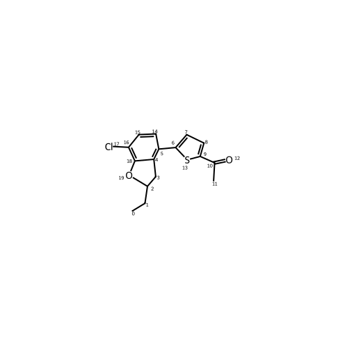 CCC1Cc2c(-c3ccc(C(C)=O)s3)ccc(Cl)c2O1